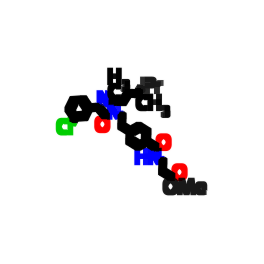 COC(=O)CCNC(=O)c1ccc(CCN2C(=O)C(c3cccc(Cl)c3)=NC2(C)CCC(C)C(C)C)cc1